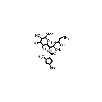 CCC[C@@H]1C[C@@H](C(=O)N[C@H]([C@H](C)NC(O)CN)[C@H]2OC(SC)[C@H](O)C(O)C2O)N(C)C1